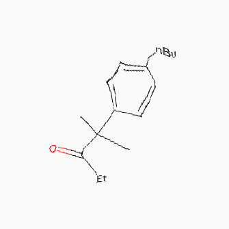 CCCCc1ccc(C(C)(C)C(=O)CC)cc1